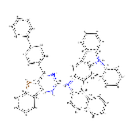 c1ccc(-c2ccc(-c3nc(-n4c5ccc6ccccc6c5c5c6c7ccccc7n7c8ccccc8c(cc54)c67)nc4c3sc3ccccc34)cc2)cc1